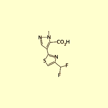 Cn1ncc(-c2nc(C(F)F)cs2)c1C(=O)O